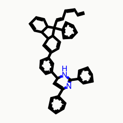 C=C/C=C\C=CC1(c2ccccc2)C2C=CC=CC2C2C=C(c3cccc(C4C=C(c5ccccc5)N=C(c5ccccc5)N4)c3)C=CC21